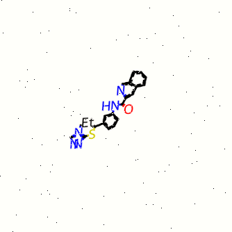 CCC(Sc1nncn1C)c1cccc(NC(=O)c2cc3ccccc3cn2)c1